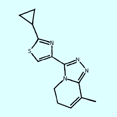 CC1=CCCn2c1nnc2-c1csc(C2CC2)n1